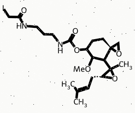 COC1C(OC(=O)NCCCNC(=O)CI)CC[C@]2(CO2)C1C1(C)O[C@@H]1CC=C(C)C